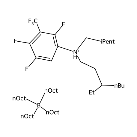 CCCCC(CC)CC[NH+](CC(C)CCC)c1cc(F)c(F)c(C(F)(F)F)c1F.CCCCCCCC[B-](CCCCCCCC)(CCCCCCCC)CCCCCCCC